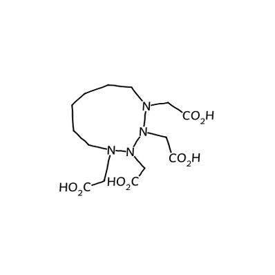 O=C(O)CN1CCCCCCN(CC(=O)O)N(CC(=O)O)N1CC(=O)O